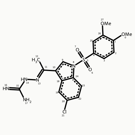 COc1ccc(S(=O)(=O)n2cc(C(C)=NNC(=N)N)c3cc(Cl)ccc32)cc1OC